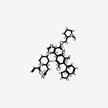 C=CC(=O)N1CCC(n2cnc3c(OCC4CCCN4C)nc4c(F)c(-c5cccc6c5CCC6)c(Cl)cc4c32)CC1CC#N